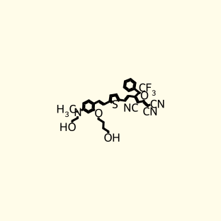 CN(CCO)c1ccc(/C=C/c2ccc(/C=C/C3=C(C#N)C(=C(C#N)C#N)OC3(c3ccccc3)C(F)(F)F)s2)c(OCCCCO)c1